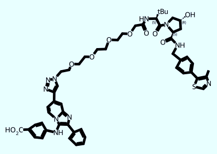 Cc1ncsc1-c1ccc(CNC(=O)[C@@H]2C[C@@H](O)CN2C(=O)[C@@H](NC(=O)COCCOCCOCCOCCn2cc(-c3ccn4c(Nc5ccc(C(=O)O)cc5)c(-c5ccccc5)nc4c3)nn2)C(C)(C)C)cc1